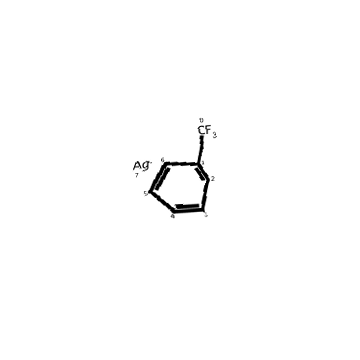 FC(F)(F)c1ccccc1.[Ag]